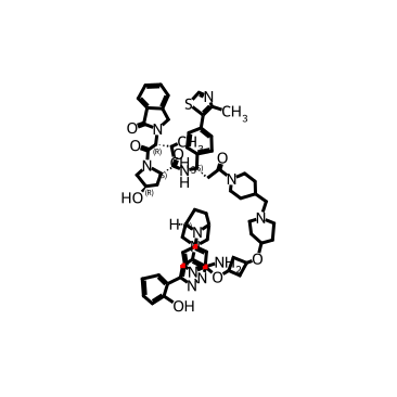 Cc1ncsc1-c1ccc([C@H](CC(=O)N2CCC(CN3CCC(OC4CC(Oc5cc(N6C7CC[C@@H]6CN(c6cc(-c8ccccc8O)nnc6N)C7)ccn5)C4)CC3)CC2)NC(=O)[C@@H]2C[C@@H](O)CN2C(=O)[C@@H](C(C)C)N2Cc3ccccc3C2=O)cc1